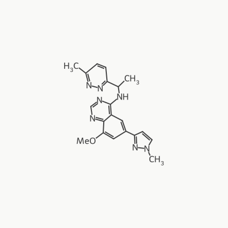 COc1cc(-c2ccn(C)n2)cc2c(NC(C)c3ccc(C)nn3)ncnc12